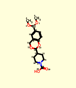 COB(OC)c1ccc2c(c1)COC(C1CCN(C(=O)O)CC1)O2